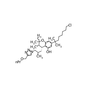 CCCOCc1cn(C[C@H](C)C[C@H]2c3c(O)cc(C(C)(C)CCCCCCCl)cc3OC(C)(C)[C@@H]2C)nn1